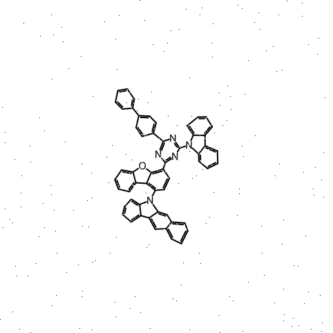 c1ccc(-c2ccc(-c3nc(-c4ccc(-n5c6ccccc6c6cc7ccccc7cc65)c5c4oc4ccccc45)nc(-n4c5ccccc5c5ccccc54)n3)cc2)cc1